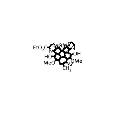 CCOC(=O)C1CSc2c(OC)c3c4c(OC)c5c(c6c(O)c(OC)c7c(c8c(c(OC)c(O)c(c2=N1)c83)CC(C)=C7C(C)=O)c64)=NCCS5